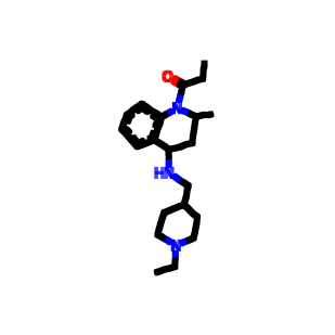 CCC(=O)N1c2ccccc2C(NCC2CCN(CC)CC2)CC1C